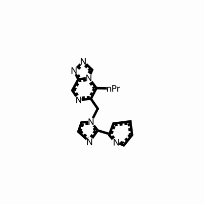 CCCc1c(Cn2ccnc2-c2ccccn2)ncc2nncn12